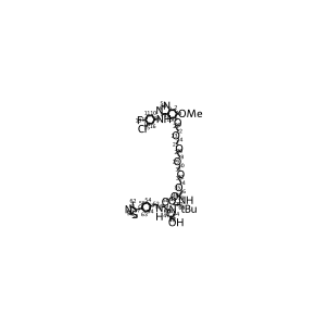 COc1cc2ncnc(Nc3ccc(F)c(Cl)c3)c2cc1OCCOCCOCCOCCOCCOCC(=O)NC(C(=O)N1C[C@H](O)C[C@H]1C(=O)NCc1ccc(-c2scnc2C)cc1)C(C)(C)C